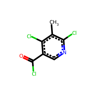 Cc1c(Cl)ncc(C(=O)Cl)c1Cl